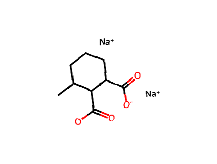 CC1CCCC(C(=O)[O-])C1C(=O)[O-].[Na+].[Na+]